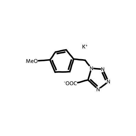 COc1ccc(Cn2nnnc2C(=O)[O-])cc1.[K+]